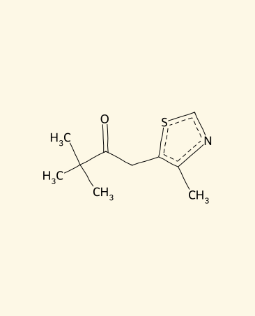 Cc1ncsc1CC(=O)C(C)(C)C